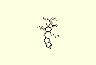 C[C@@H]1C(SC2Cn3cnc[n+]3C2)=C(C(=O)O)N2C(=O)[C@H]([C@@H](C)O)[C@H]12